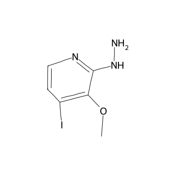 COc1c(I)ccnc1NN